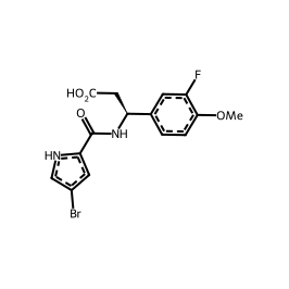 COc1ccc([C@H](CC(=O)O)NC(=O)c2cc(Br)c[nH]2)cc1F